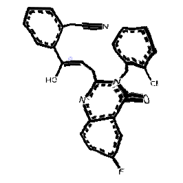 N#Cc1ccccc1/C(O)=C/c1nc2ccc(F)cc2c(=O)n1-c1ccccc1Cl